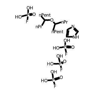 CCCCCC(CCC)OC(CCC)CCCCC.O=P(O)(O)F.O=P(O)(O)F.O=P(O)(O)F.O=P(O)(O)F.c1c[nH]cn1